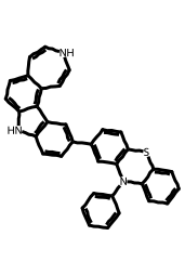 C1=Cc2ccc3[nH]c4ccc(-c5ccc6c(c5)N(c5ccccc5)c5ccccc5S6)cc4c3c2C=CN1